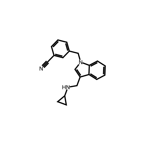 N#Cc1cccc(Cn2cc(CNC3CC3)c3ccccc32)c1